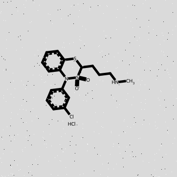 CNCCCC1Sc2ccccc2N(c2cccc(Cl)c2)S1(=O)=O.Cl